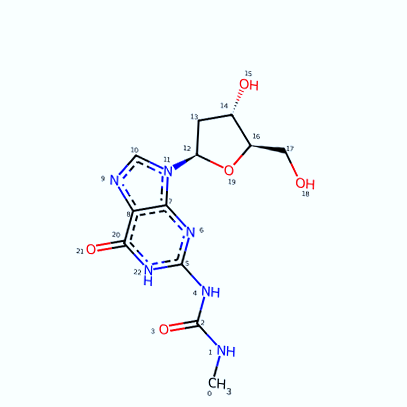 CNC(=O)Nc1nc2c(ncn2[C@H]2C[C@H](O)[C@@H](CO)O2)c(=O)[nH]1